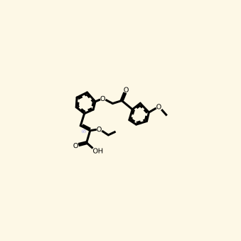 CCO/C(=C\c1cccc(OCC(=O)c2cccc(OC)c2)c1)C(=O)O